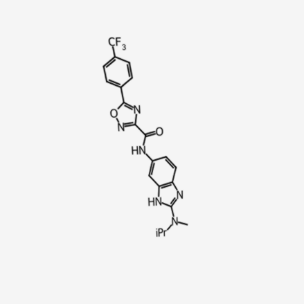 CC(C)N(C)c1nc2ccc(NC(=O)c3noc(-c4ccc(C(F)(F)F)cc4)n3)cc2[nH]1